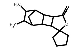 CC1C(C)C2CC1C1C3C(=O)OC4(CCCC4)C3C21